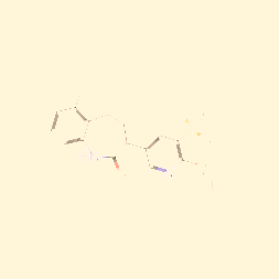 COc1ncc(C2CCc3c(F)cccc3NC2=O)cc1S(C)(=O)=O